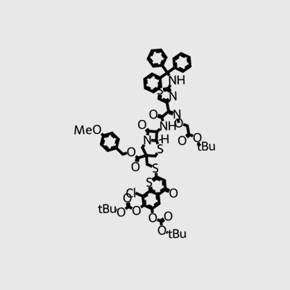 COc1ccc(COC(=O)C2(CSc3cc(=O)c4cc(OC(=O)OC(C)(C)C)c(OC(=O)OC(C)(C)C)c(Cl)c4s3)CS[C@@H]3C(NC(=O)C(=NOCC(=O)OC(C)(C)C)c4csc(NC(c5ccccc5)(c5ccccc5)c5ccccc5)n4)C(=O)N3C2)cc1